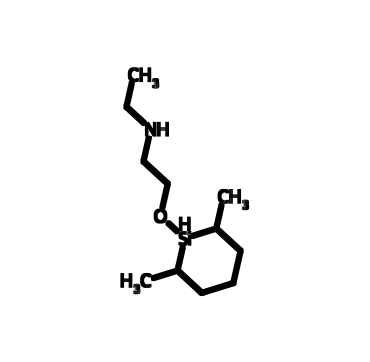 CCNCCO[SiH]1C(C)CCCC1C